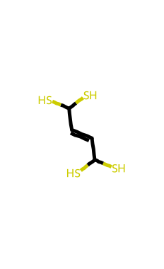 SC(S)C=CC(S)S